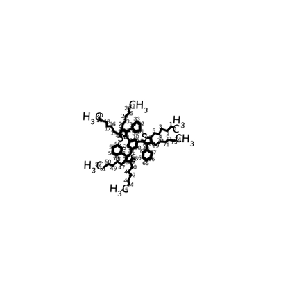 CCCCCCc1sc(-c2cc(-c3sc(CCCCCC)c(CCCCCC)c3-c3ccccc3)cc(-c3sc(CCCCCC)c(CCCCCC)c3-c3ccccc3)c2)c(-c2ccccc2)c1CCCCCC